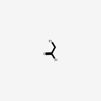 C[CH]CC(=O)CC